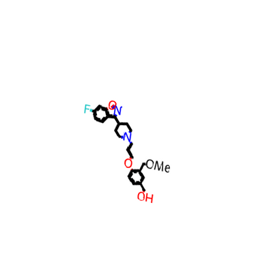 COCc1cc(CO)ccc1OCCCN1CCC(c2noc3cc(F)ccc23)CC1